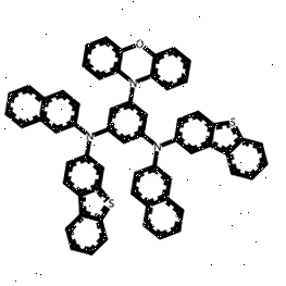 c1ccc2c(c1)Oc1ccccc1N2c1cc(N(c2ccc3ccccc3c2)c2ccc3c(c2)sc2ccccc23)cc(N(c2ccc3ccccc3c2)c2ccc3sc4ccccc4c3c2)c1